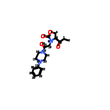 CCC(=O)C1COC(=O)N1CC(=O)N1CCN(c2ccccc2)CC1